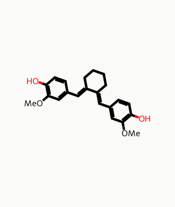 COc1cc(C=C2CCCCC2=Cc2ccc(O)c(OC)c2)ccc1O